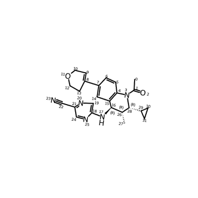 CC(=O)N1c2ccc(C3=CCOCC3)cc2[C@H](Nc2cnc(C#N)cn2)[C@@H](C)[C@H]1C1CC1